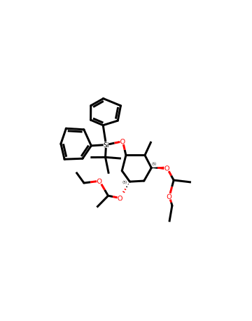 CCOC(C)O[C@@H]1CC(O[Si](c2ccccc2)(c2ccccc2)C(C)(C)C)C(C)[C@@H](OC(C)OCC)C1